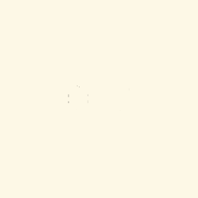 CC1Oc2ncccc2OC1I